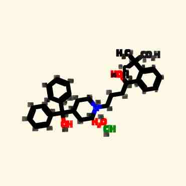 CC(C)(C(=O)O)c1ccccc1C(O)CCCN1CCC(C(O)(c2ccccc2)c2ccccc2)CC1.Cl.O